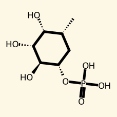 C[C@@H]1C[C@H](OP(=O)(O)O)[C@@H](O)[C@H](O)[C@@H]1O